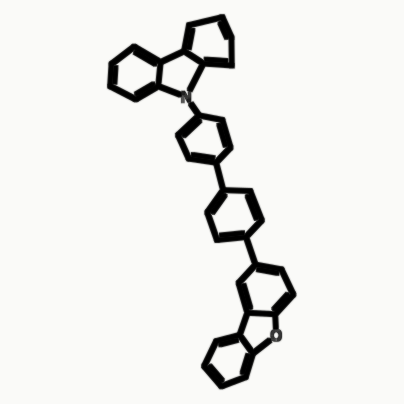 c1ccc2c(c1)oc1ccc(-c3ccc(-c4ccc(-n5c6ccccc6c6ccccc65)cc4)cc3)cc12